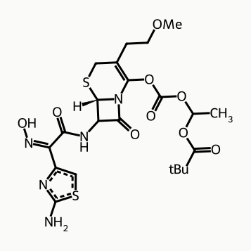 COCCC1=C(OC(=O)OC(C)OC(=O)C(C)(C)C)N2C(=O)C(NC(=O)/C(=N\O)c3csc(N)n3)[C@@H]2SC1